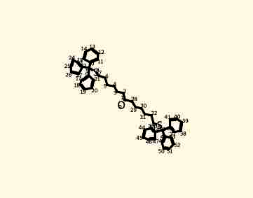 O=C(CCCCCCSC(c1ccccc1)(c1ccccc1)c1ccccc1)CCCCCCSC(c1ccccc1)(c1ccccc1)c1ccccc1